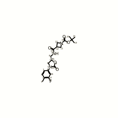 Cc1ccc(N2C[C@@H](CNC(=O)C3CN(C(=O)OC(C)(C)C)C3)OC2=O)cc1F